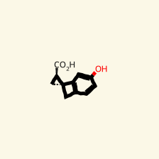 O=C(O)[C@@H]1C[C@]12Cc1ccc(O)cc12